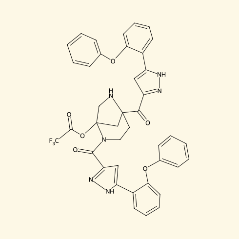 O=C(c1cc(-c2ccccc2Oc2ccccc2)[nH]n1)N1CCC2(C(=O)c3cc(-c4ccccc4Oc4ccccc4)[nH]n3)CC1(OC(=O)C(F)(F)F)CN2